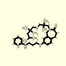 CC(C)CC(C)(C)COCC(C)(C)CN1Cc2cc(OCCCNc3ccccn3)ccc2CCC1=O